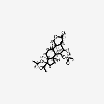 CC(=O)O[C@]1(C(C)=O)CC[C@H]2[C@@H]3C(OS(C)(=O)=O)C(Cl)C4=CC(=O)OC[C@]4(C)[C@H]3CC[C@@]21C